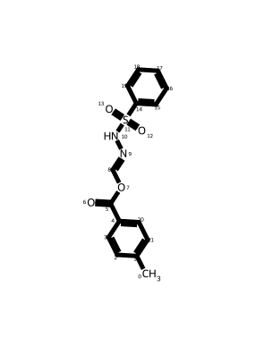 Cc1ccc(C(=O)OC=NNS(=O)(=O)c2ccccc2)cc1